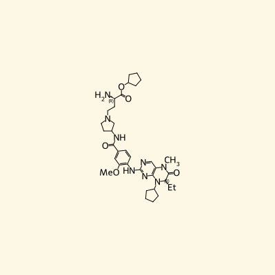 CC[C@@H]1C(=O)N(C)c2cnc(Nc3ccc(C(=O)NC4CCN(CC[C@@H](N)C(=O)OC5CCCC5)C4)cc3OC)nc2N1C1CCCC1